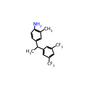 Cc1cc(C(C)c2cc(C(F)(F)F)cc(C(F)(F)F)c2)ccc1N